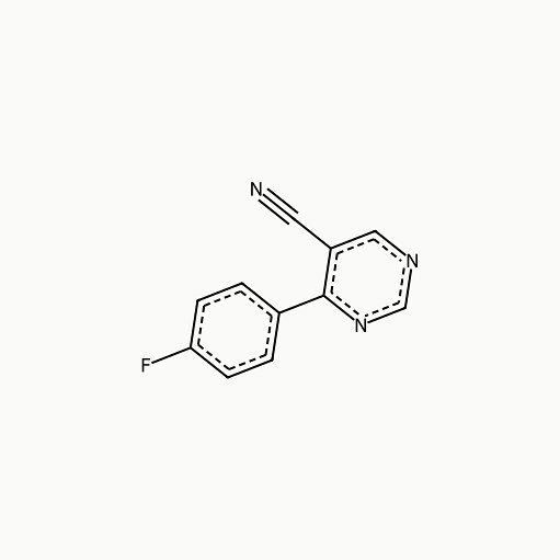 N#Cc1cncnc1-c1ccc(F)cc1